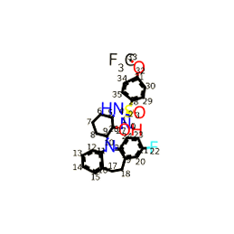 CN=S(=O)(NC1CCCC(N2c3ccccc3CCc3cc(F)ccc32)C1O)c1ccc(OC(F)(F)F)cc1